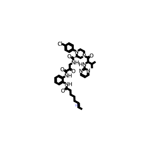 C/C=C/CCCCC(=O)Nc1ccccc1NC(=O)C(=O)CNC(=O)[C@H]1CN(C(=O)C(Nc2ncccn2)C(C)C)CCN1c1ccc(Cl)cc1